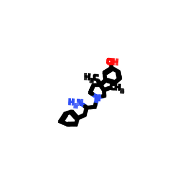 CC1CN(CC(N)Cc2ccccc2)CCC1(C)c1cccc(O)c1